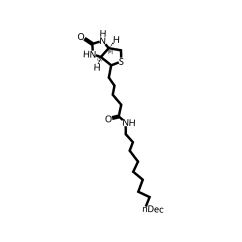 CCCCCCCCCCCCCCCCCCNC(=O)CCCCC1SC[C@@H]2NC(=O)N[C@H]12